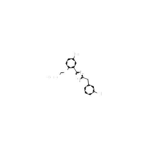 O=C(O)COc1ccc(Br)cc1-c1nc(Cc2cccc(Cl)c2)no1